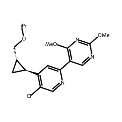 COc1ncc(-c2cc([C@H]3C[C@@H]3COC(C)C)c(Cl)cn2)c(OC)n1